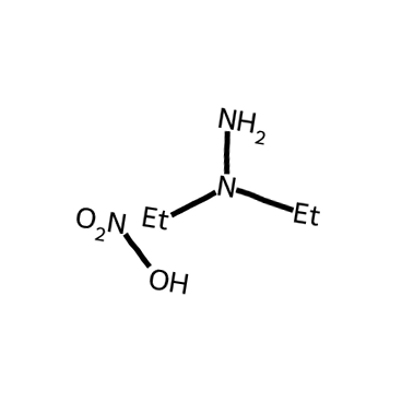 CCN(N)CC.O=[N+]([O-])O